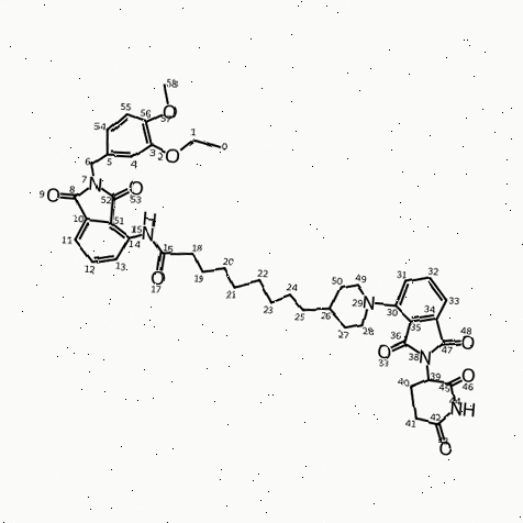 CCOc1cc(CN2C(=O)c3cccc(NC(=O)CCCCCCCCC4CCN(c5cccc6c5C(=O)N(C5CCC(=O)NC5=O)C6=O)CC4)c3C2=O)ccc1OC